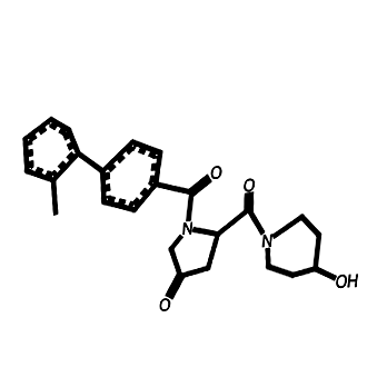 Cc1ccccc1-c1ccc(C(=O)N2CC(=O)CC2C(=O)N2CCC(O)CC2)cc1